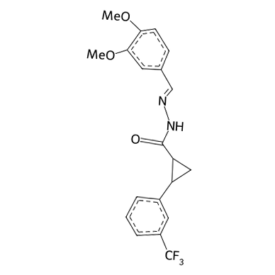 COc1ccc(C=NNC(=O)C2CC2c2cccc(C(F)(F)F)c2)cc1OC